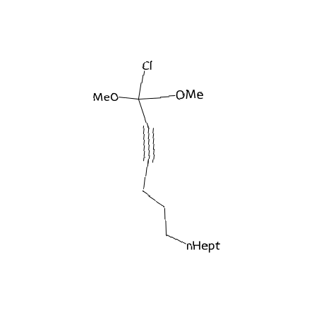 CCCCCCCCCCC#CC(Cl)(OC)OC